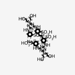 O=S(=O)(O)c1cccc(Nc2nc(Nc3ccc(C=Cc4ccc(Nc5nc(Nc6cccc(S(=O)(=O)O)c6)nc(N(CCO)CCO)n5)cc4S(=O)(=O)O)c(S(=O)(=O)O)c3)nc(N(CCO)CCO)n2)c1.[Na]